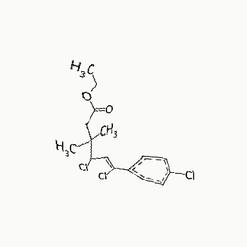 CCOC(=O)CC(C)(C)C(Cl)C=C(Cl)c1ccc(Cl)cc1